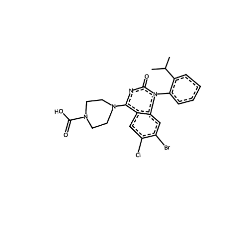 CC(C)c1ccccc1-n1c(=O)nc(N2CCN(C(=O)O)CC2)c2cc(Cl)c(Br)cc21